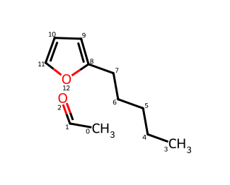 CC=O.CCCCCc1ccco1